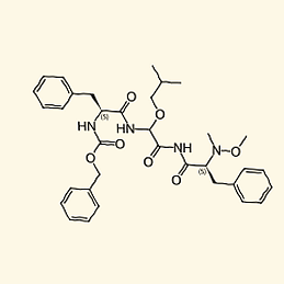 CON(C)[C@@H](Cc1ccccc1)C(=O)NC(=O)C(NC(=O)[C@H](Cc1ccccc1)NC(=O)OCc1ccccc1)OCC(C)C